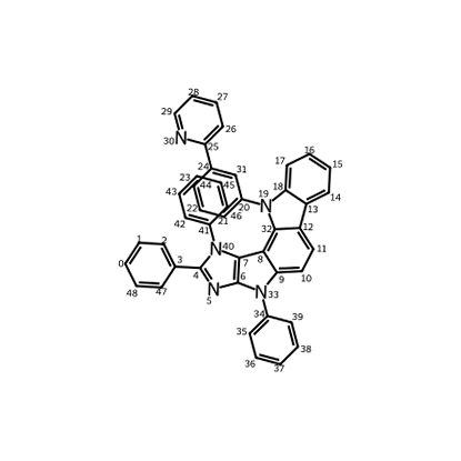 c1ccc(-c2nc3c(c4c(ccc5c6ccccc6n(-c6cccc(-c7ccccn7)c6)c54)n3-c3ccccc3)n2-c2ccccc2)cc1